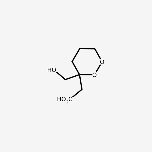 O=C(O)CC1(CO)CCCOO1